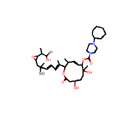 CCC(O)C(C)C1OC1CC(C)(/C=C/C=C(\C)C1OC(=O)CC(O)CCC(C)(O)C(OC(=O)N2CCN(C3CCCCCC3)CC2)/C=C/C1C)N=O